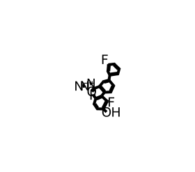 [N-]=[N+]=NC(=O)c1cc(-c2cccc(F)c2)ccc1-c1c(F)ccc(O)c1F